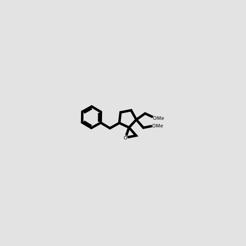 COCC1(COC)CCC(Cc2ccccc2)C12CO2